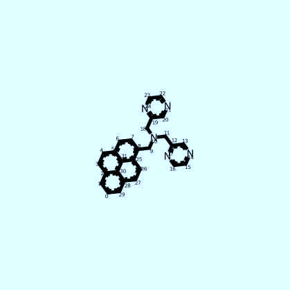 c1cc2ccc3ccc(CN(Cc4cnccn4)Cc4cnccn4)c4ccc(c1)c2c34